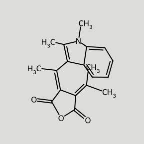 CC(C)=C1C(=O)OC(=O)/C1=C(\C)c1c(C)n(C)c2ccccc12